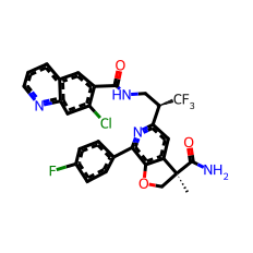 C[C@]1(C(N)=O)COc2c1cc([C@@H](CNC(=O)c1cc3cccnc3cc1Cl)C(F)(F)F)nc2-c1ccc(F)cc1